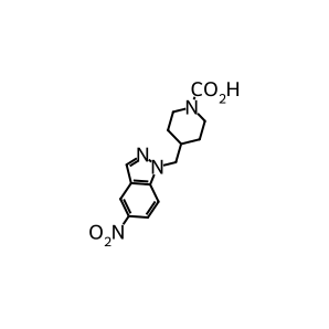 O=C(O)N1CCC(Cn2ncc3cc([N+](=O)[O-])ccc32)CC1